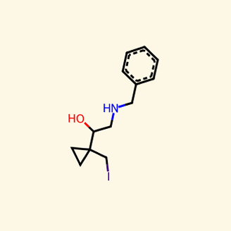 OC(CNCc1ccccc1)C1(CI)CC1